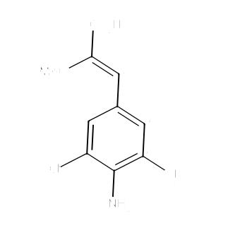 CO/C(=C\c1cc(C)c(N)c(Cl)c1)C(=O)O